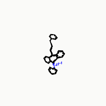 c1ccc(CCCc2c3ccccc3c(Nc3ccccc3)c3ccccc23)cc1